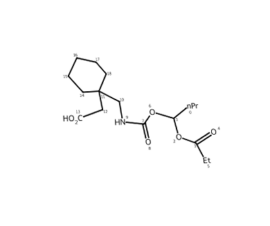 CCCC(OC(=O)CC)OC(=O)NCC1(CC(=O)O)CCCCC1